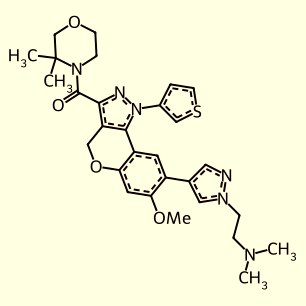 COc1cc2c(cc1-c1cnn(CCN(C)C)c1)-c1c(c(C(=O)N3CCOCC3(C)C)nn1-c1ccsc1)CO2